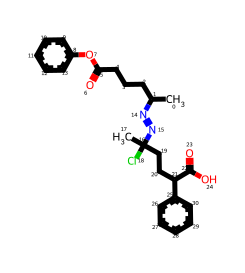 CC(CCCC(=O)Oc1ccccc1)N=NC(C)(Cl)CCC(C(=O)O)c1ccccc1